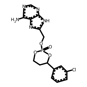 Nc1ncnc2[nH]c(COP3(=O)OCCC(c4cccc(Cl)c4)O3)nc12